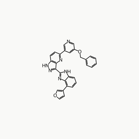 c1ccc(COc2cncc(-c3ccc4[nH]nc(-c5nc6c(-c7ccoc7)cccc6[nH]5)c4n3)c2)cc1